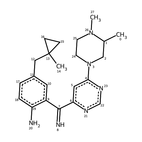 CC1CN(c2cc(C(=N)c3cc(CC4(C)CC4)ccc3N)ncn2)CCN1C